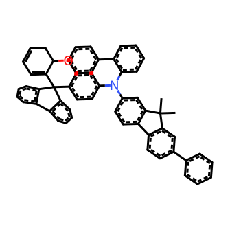 CC1(C)c2cc(-c3ccccc3)ccc2-c2ccc(N(c3ccc4c(c3)OC3CC=CC=C3C43c4ccccc4-c4ccccc43)c3ccccc3-c3ccccc3)cc21